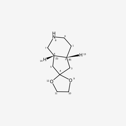 C1C[C@@H]2CC3(C[C@@H]2CN1)OCCO3